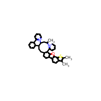 C=C1CC2C(CCc3ccc4c(oc5c4ccc4c(C)c(C)sc45)c3-c3cccc[n+]31)c1ccccc1-c1cccc[n+]12